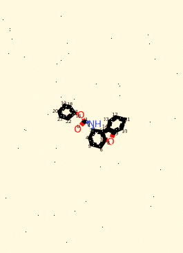 O=C(Nc1cccc2oc3ccccc3c12)Oc1ccccc1